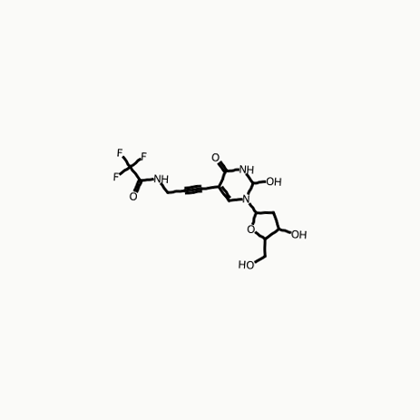 O=C1NC(O)N(C2CC(O)C(CO)O2)C=C1C#CCNC(=O)C(F)(F)F